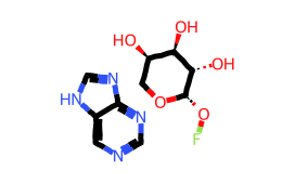 O[C@@H]1[C@H](OF)OC[C@@H](O)[C@H]1O.c1ncc2[nH]cnc2n1